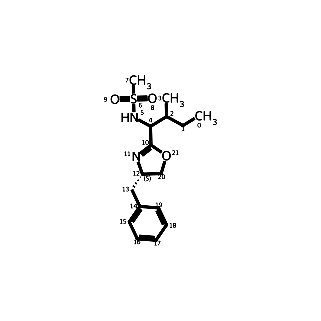 CCC(C)C(NS(C)(=O)=O)C1=N[C@@H](Cc2ccccc2)CO1